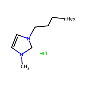 CCCCCCCCCN1C=CN(C)C1.Cl